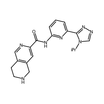 CC(C)n1cnnc1-c1cccc(NC(=O)c2cc3c(cn2)CCNC3)n1